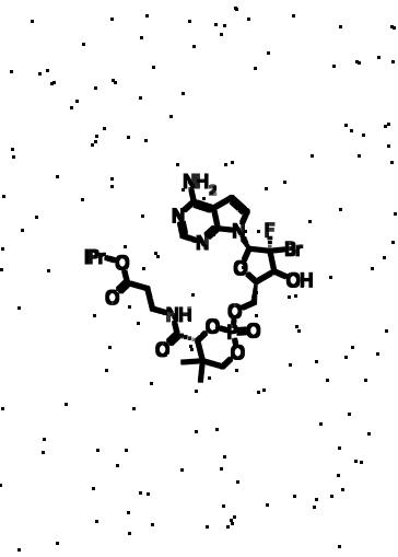 CC(C)OC(=O)CCNC(=O)[C@@H]1OP(=O)(OC[C@H]2O[C@@H](n3ccc4c(N)ncnc43)[C@@](F)(Br)C2O)OCC1(C)C